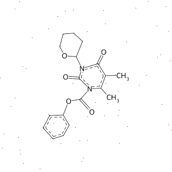 Cc1c(C)n(C(=O)Oc2ccccc2)c(=O)n(C2CCCCO2)c1=O